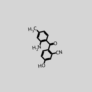 Cc1ccc(C(=O)c2ccc(O)cc2C#N)c(N)c1